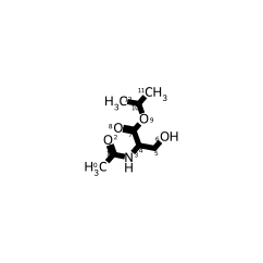 CC(=O)NC(CO)C(=O)OC(C)C